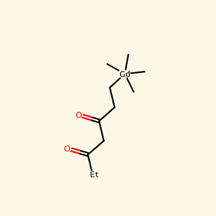 CCC(=O)CC(=O)C[CH2][Gd]([CH3])([CH3])([CH3])[CH3]